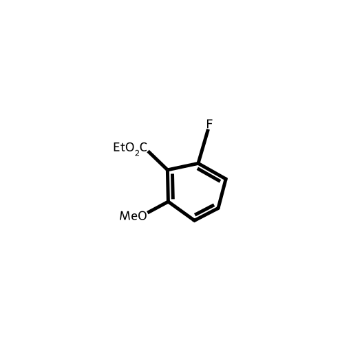 CCOC(=O)c1c(F)cccc1OC